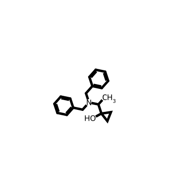 CC(N(Cc1ccccc1)Cc1ccccc1)C1(O)CC1